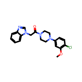 COc1cc(N2CCN(C(=O)Cn3cnc4ccccc43)CC2)ccc1Cl